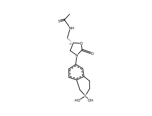 CC(=S)NC[C@H]1CN(c2ccc3c(c2)CCS(O)(O)C3)C(=O)O1